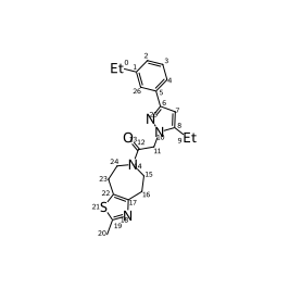 CCc1cccc(-c2cc(CC)n(CC(=O)N3CCc4nc(C)sc4CC3)n2)c1